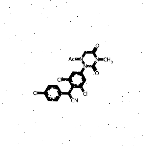 CC(=O)N1CC(=O)N(C)C(=O)N1c1cc(Cl)c(C(C#N)c2ccc(Cl)cc2)c(Cl)c1